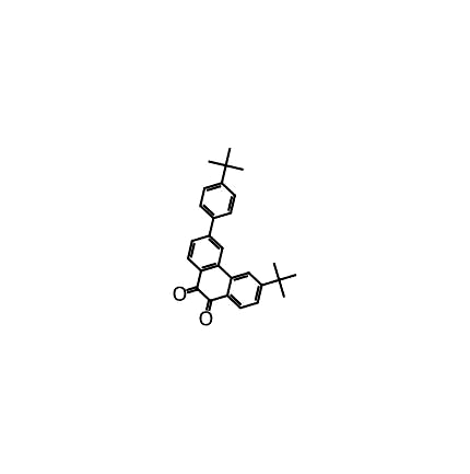 CC(C)(C)c1ccc(-c2ccc3c(c2)-c2cc(C(C)(C)C)ccc2C(=O)C3=O)cc1